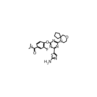 CN(C)C(=O)c1ccc(Oc2nc(-c3cnc(N)s3)nc(N3CCOCC34CCCC4)n2)c(F)c1